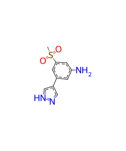 CS(=O)(=O)c1cc(N)cc(-c2cn[nH]c2)c1